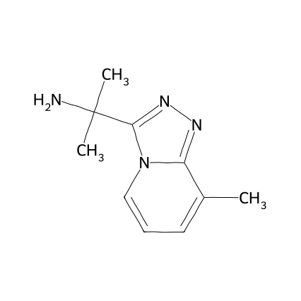 Cc1cccn2c(C(C)(C)N)nnc12